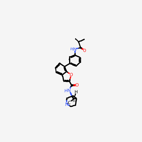 CC(C)C(=O)Nc1cccc(-c2cccc3cc(C(=O)N[C@H]4CN5CCC4CC5)oc23)c1